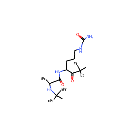 CCCC(C)(CCC)NC(C(=O)NC(CCCNC(N)=O)C(=O)C(C)(CC)CC)C(C)C